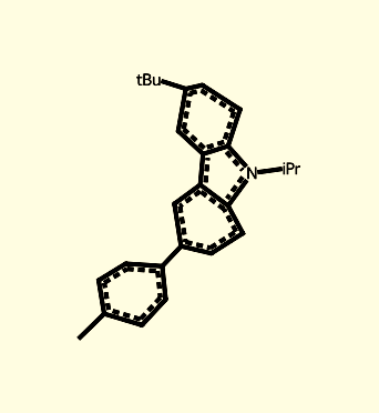 Cc1ccc(-c2ccc3c(c2)c2cc(C(C)(C)C)ccc2n3C(C)C)cc1